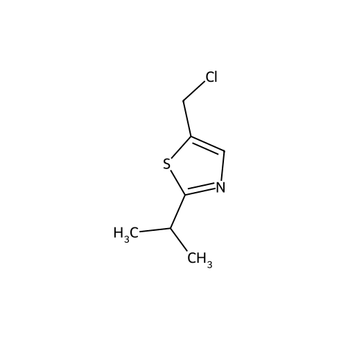 CC(C)c1ncc(CCl)s1